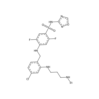 CCNCCCNc1cc(Cl)ccc1CNc1cc(F)c(S(=O)(=O)Nc2ncon2)cc1F